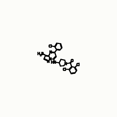 Bc1cnn2c(NC3CCN(C(=O)c4c(Cl)cccc4Cl)CC3)cc(-c3ccccc3Cl)nc12